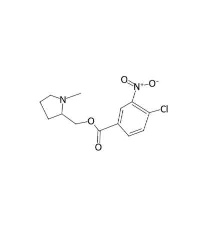 CN1CCCC1COC(=O)c1ccc(Cl)c([N+](=O)[O-])c1